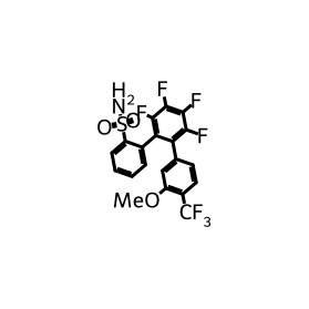 COc1cc(-c2c(F)c(F)c(F)c(F)c2-c2ccccc2S(N)(=O)=O)ccc1C(F)(F)F